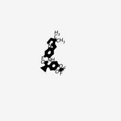 CC1(C)CCn2c1cc1cc(NC(=O)C3(c4ccc5c(c4)OC(F)(F)O5)CC3)c(F)cc12